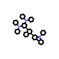 c1ccc(N(c2ccccc2)c2cc(-c3ccc(-c4ccc5c6ccccc6n(-c6ccccc6)c5c4)c4ccccc34)cc(N(c3ccccc3)c3ccccc3)c2)cc1